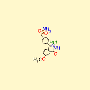 COc1ccc2c(-c3ccc(CS(N)(=O)=O)cc3)n[nH]c(=O)c2c1.Cl